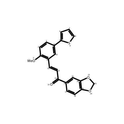 COc1ccc(-c2cccs2)cc1C=CC(=O)c1ccc2c(c1)OCO2